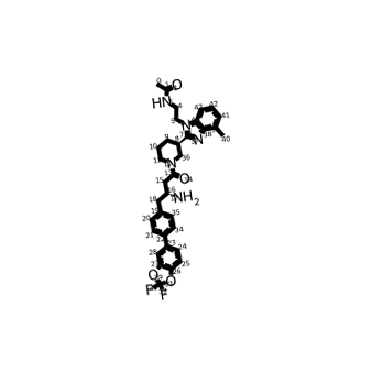 CC(=O)NCCn1c([C@@H]2CCCN(C(=O)C[C@H](N)Cc3ccc(-c4ccc5c(c4)OC(F)(F)O5)cc3)C2)nc2c(C)cccc21